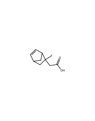 O=C(O)CC1(F)CC2C=CC1C2